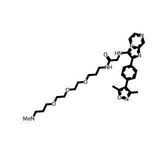 CNCCCOCCOCCOCCCNC(=O)CNc1c(-c2ccc(-c3c(C)noc3C)cc2)nc2cnccn12